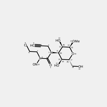 C#CCN(C(=O)N(CCCl)N=O)[C@H]1[C@@H](O)[C@@H](OC)O[C@H](CO)[C@H]1O